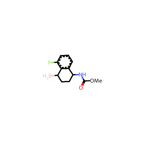 BC1CCC(NC(=O)OC)c2cccc(F)c21